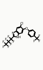 FC(F)(F)c1ccc(Oc2cc3[nH]c(C(F)(F)C(F)(F)C(F)(F)F)nc3cc2Cl)cc1